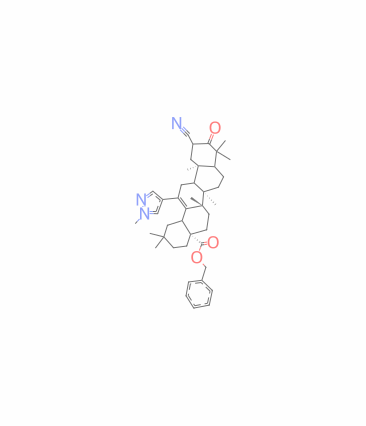 Cn1cc(C2=C3C4CC(C)(C)CC[C@]4(C(=O)OCc4ccccc4)CC[C@@]3(C)[C@]3(C)CCC4C(C)(C)C(=O)C(C#N)C[C@]4(C)C3C2)cn1